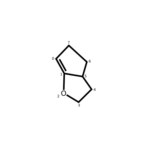 C1=C2OCCC2CC1